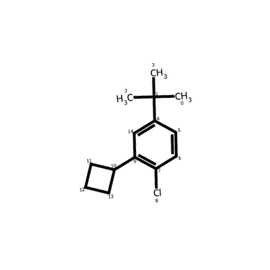 CC(C)(C)c1ccc(Cl)c(C2CCC2)c1